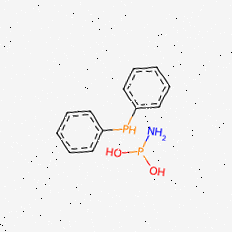 NP(O)O.c1ccc(Pc2ccccc2)cc1